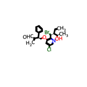 C=C[C@@H](C(Br)c1ncc(Cl)cc1OC[C@@H](C(=C)C=O)c1ccccc1)[C@H](C)O